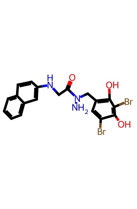 NN(Cc1cc(Br)c(O)c(Br)c1O)C(=O)CNc1ccc2ccccc2c1